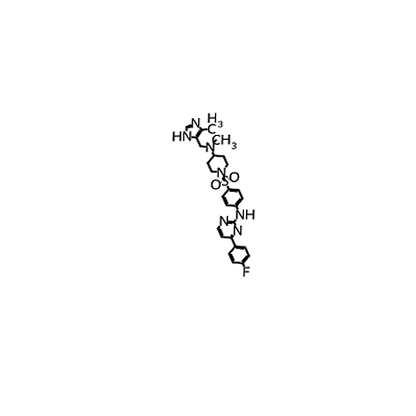 Cc1nc[nH]c1CN(C)C1CCN(S(=O)(=O)c2ccc(Nc3nccc(-c4ccc(F)cc4)n3)cc2)CC1